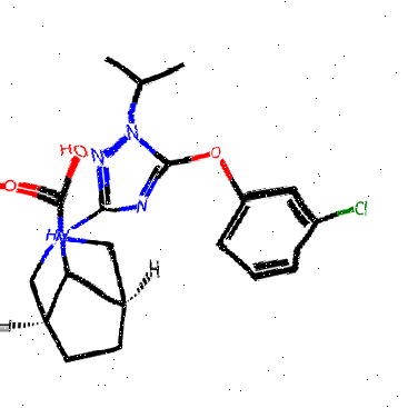 CC(C)n1nc(NC2[C@@H]3CC[C@H]2CN(C(=O)O)C3)nc1Oc1cccc(Cl)c1